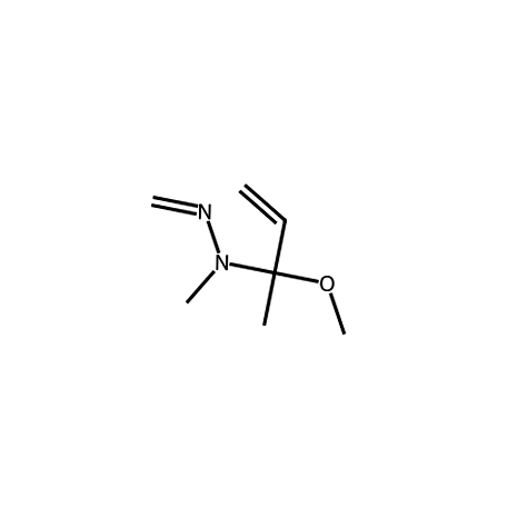 C=CC(C)(OC)N(C)N=C